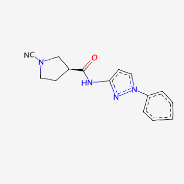 N#CN1CC[C@H](C(=O)Nc2ccn(-c3ccccc3)n2)C1